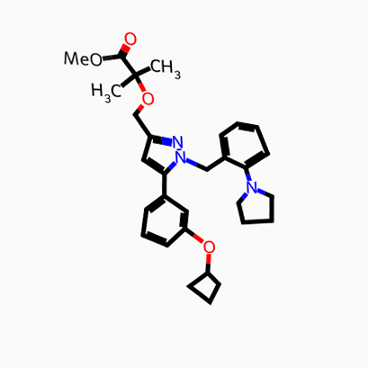 COC(=O)C(C)(C)OCc1cc(-c2cccc(OC3CCC3)c2)n(Cc2ccccc2N2CCCC2)n1